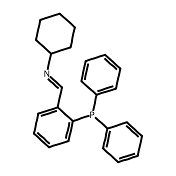 C(=NC1CCCCC1)c1ccccc1P(c1ccccc1)c1ccccc1